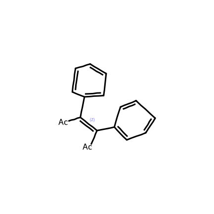 CC(=O)/C(=C(\C(C)=O)c1ccccc1)c1ccccc1